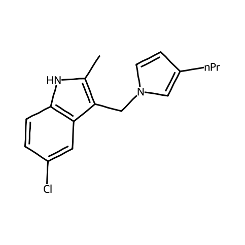 CCCc1ccn(Cc2c(C)[nH]c3ccc(Cl)cc23)c1